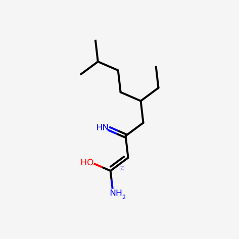 CCC(CCC(C)C)CC(=N)/C=C(/N)O